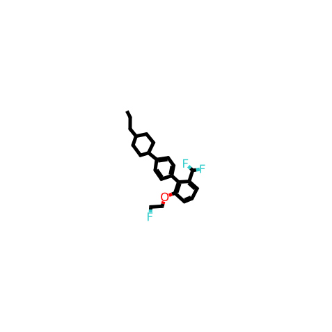 CCCC1CCC(c2ccc(-c3c(OCCF)cccc3C(F)F)cc2)CC1